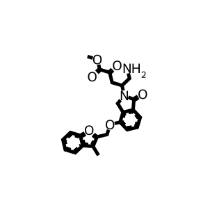 COC(=O)C(=O)CC(CN)N1Cc2c(OCc3oc4ccccc4c3C)cccc2C1=O